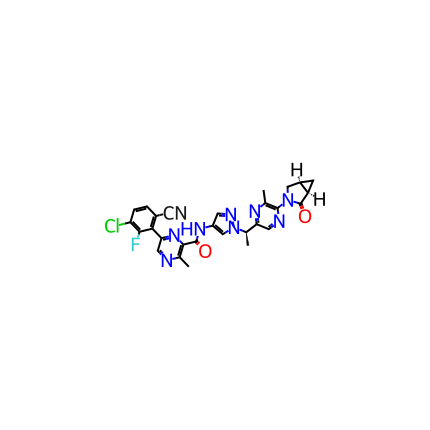 Cc1ncc(-c2c(C#N)ccc(Cl)c2F)nc1C(=O)Nc1cnn([C@H](C)c2cnc(N3C[C@H]4C[C@H]4C3=O)c(C)n2)c1